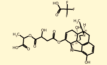 CC(OC(=O)C(O)CC(=O)OC1=CC[C@@]2(O)[C@H]3Cc4ccc(O)c5c4[C@@]2(CCN3C)[C@H]1O5)C(=O)O.O=C(O)C(F)(F)F